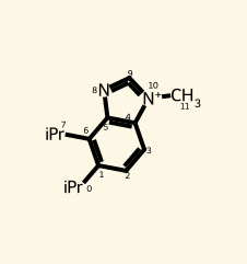 CC(C)c1ccc2c(c1C(C)C)N=C=[N+]2C